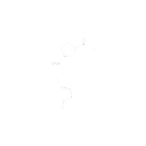 COC(=O)c1ccc(C(=O)OCc2ccc(C=O)o2)o1